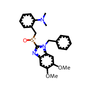 COc1cc2nc([S+]([O-])Cc3ccccc3N(C)C)n(Cc3ccccc3)c2cc1OC